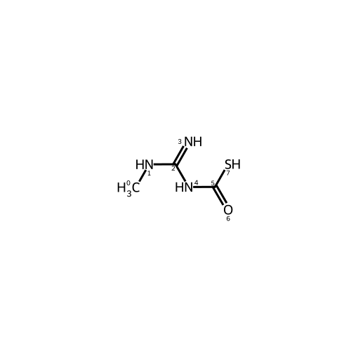 CNC(=N)NC(=O)S